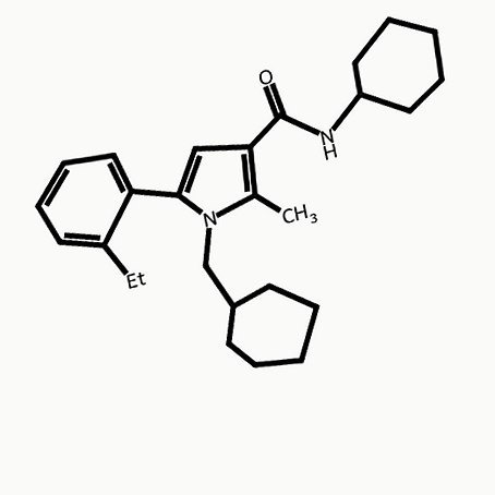 CCc1ccccc1-c1cc(C(=O)NC2CCCCC2)c(C)n1CC1CCCCC1